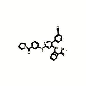 N#Cc1cccc(-c2cnc(Nc3cccc(C(=O)N4CCCC4)c3)nc2NC2C3C=CC(C3)C2C(N)=O)c1